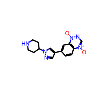 [O-][n+]1cn[n+]([O-])c2cc(-c3cnn(C4CCNCC4)c3)ccc21